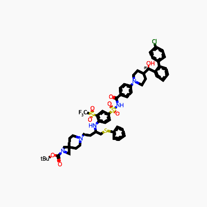 CC(C)(C)OC(=O)N1CC2(CCN(CCC(CSc3ccccc3)Nc3ccc(S(=O)(=O)NC(=O)c4ccc(N5CCC([C@@H](O)c6ccccc6-c6ccc(Cl)cc6)CC5)cc4)cc3S(=O)(=O)C(F)(F)F)CC2)C1